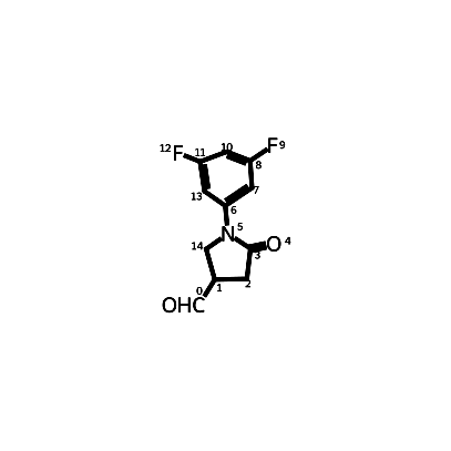 O=CC1CC(=O)N(c2cc(F)cc(F)c2)C1